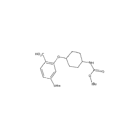 CSc1ccc(C(=O)O)c(OC2CCC(NC(=O)OC(C)(C)C)CC2)c1